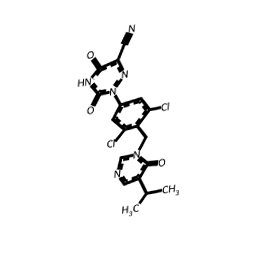 CC(C)c1cncn(Cc2c(Cl)cc(-n3nc(C#N)c(=O)[nH]c3=O)cc2Cl)c1=O